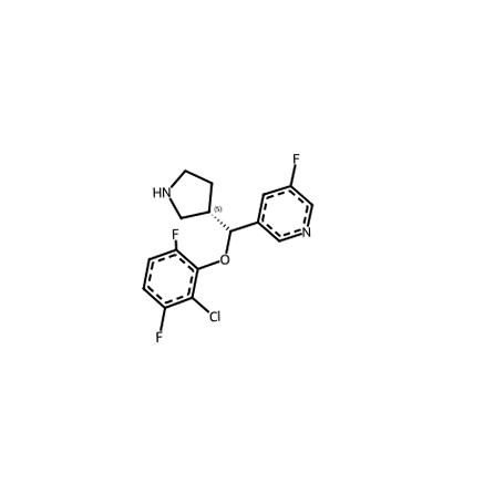 Fc1cncc(C(Oc2c(F)ccc(F)c2Cl)[C@H]2CCNC2)c1